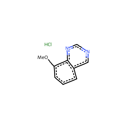 COc1cccc2cncnc12.Cl